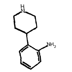 Nc1ccccc1C1CCNCC1